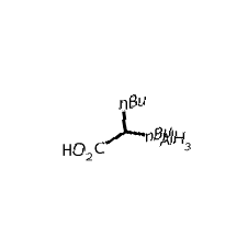 CCCCC(CCCC)C(=O)O.[AlH3]